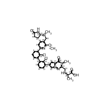 COc1nc(-c2cccc(-c3cccc(-c4cc5c(=O)n(C)c(CN[C@H](C)C(=O)O)nn5c4)c3Cl)c2Cl)ccc1CN(C)[C@H]1CCC(=O)N1